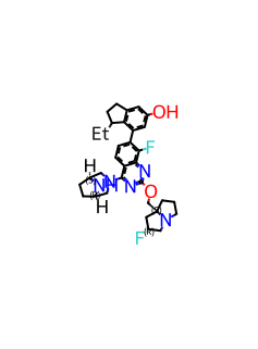 CCC1CCc2cc(O)cc(-c3ccc4c(N5C[C@H]6CC[C@@H](C5)N6)nc(OC[C@@]56CCCN5C[C@H](F)C6)nc4c3F)c21